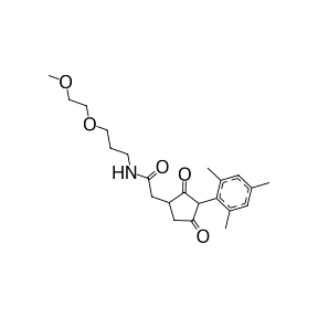 COCCOCCCNC(=O)CC1CC(=O)C(c2c(C)cc(C)cc2C)C1=O